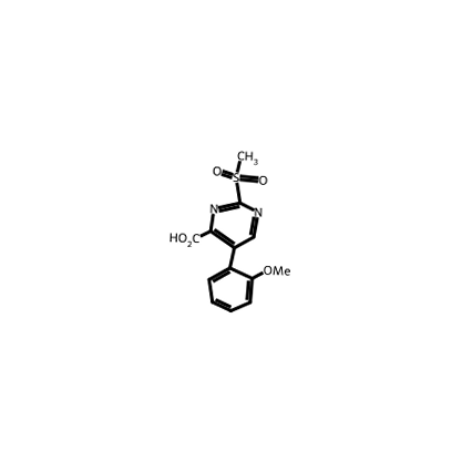 COc1ccccc1-c1cnc(S(C)(=O)=O)nc1C(=O)O